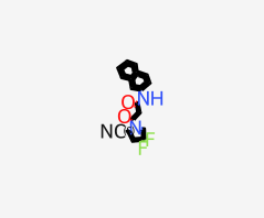 N#C[C@@H]1CC(F)(F)CN1C(=O)CC(=O)Nc1ccc2ccccc2c1